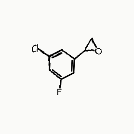 Fc1cc(Cl)cc(C2CO2)c1